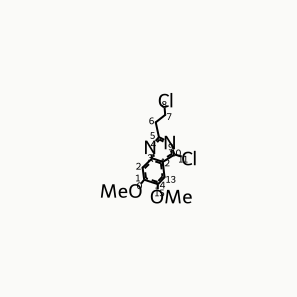 COc1cc2nc(CCCl)nc(Cl)c2cc1OC